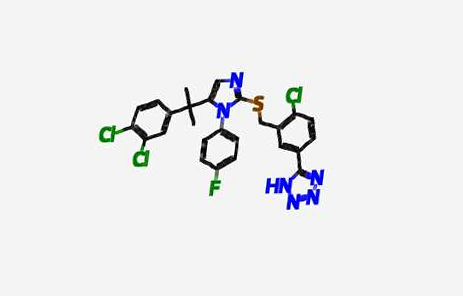 CC(C)(c1ccc(Cl)c(Cl)c1)c1cnc(SCc2cc(-c3nnn[nH]3)ccc2Cl)n1-c1ccc(F)cc1